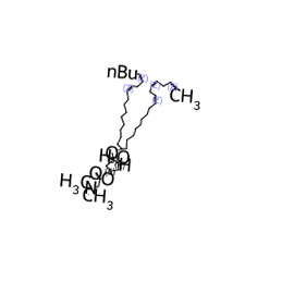 C/C=C\C/C=C\C/C=C\CCCCCCCCC1(CCCCCCCC/C=C\C/C=C\CCCC)O[C@H]2C[C@H](OC(=O)CN(C)C)C[C@H]2O1